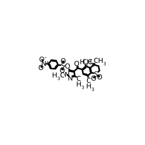 Cc1cc(C(=O)c2c(C)nn(C)c2OS(=O)(=O)c2ccc([N+](=O)[O-])cc2)c(C)c2c1S(=O)(=O)CCC2(C)C